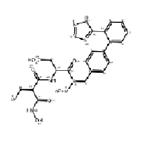 CCCCCN(Cc1ccc(-c2ccccc2-c2nnn[nH]2)cc1)C(=O)C(CC(=O)O)NC(=O)C(CC(C)C)C(=O)NO